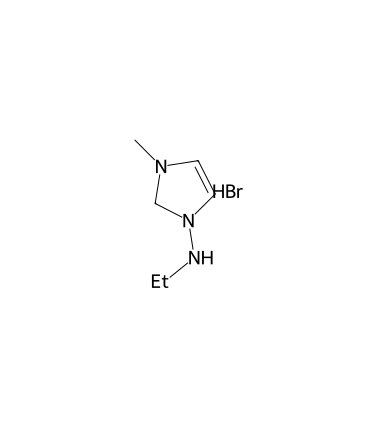 Br.CCNN1C=CN(C)C1